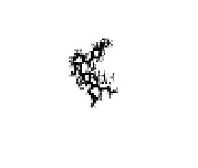 CCCCC(O)C(CC1CC1)C(=O)NC1N=C(c2ccc(OC)cc2)c2ccccc2N(C)C1=O